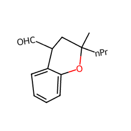 CCCC1(C)CC(C=O)c2ccccc2O1